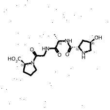 C[C@H](NC(=O)[C@@H]1C[C@@H](O)CN1)C(=O)NCC(=O)N1CCC[C@H]1C(=O)O